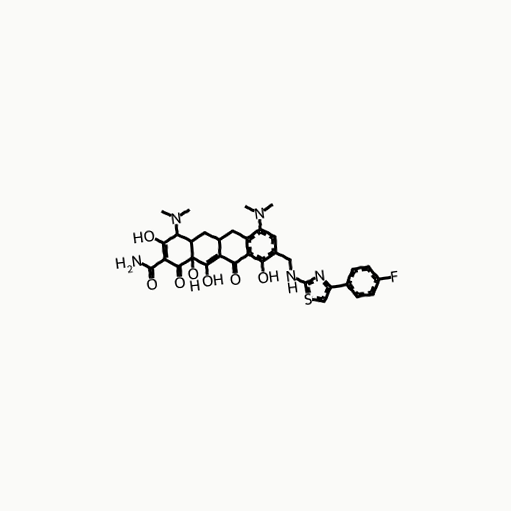 CN(C)c1cc(CNc2nc(-c3ccc(F)cc3)cs2)c(O)c2c1CC1CC3C(N(C)C)C(O)=C(C(N)=O)C(=O)C3(O)C(O)=C1C2=O